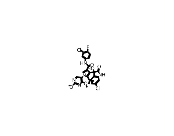 COc1ncc(-n2cc(C(=O)Nc3ccc(F)c(Cl)c3)c(C3(O)C(=O)Nc4cc(Cl)ccc43)c2C(C)C)c(OC)n1